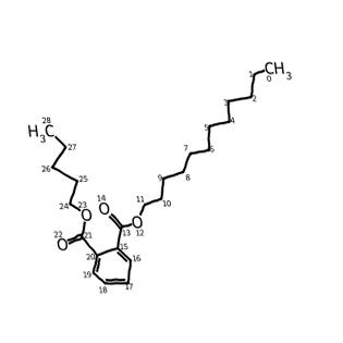 CCCCCCCCCCCCOC(=O)c1ccccc1C(=O)OCCCCC